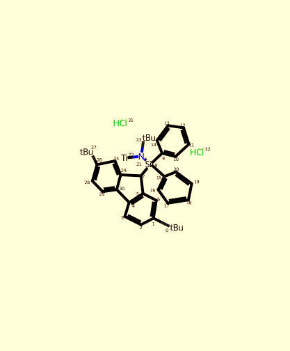 CC(C)(C)c1ccc2c(c1)C([Si](c1ccccc1)(c1ccccc1)[N]([Ti])C(C)(C)C)c1cc(C(C)(C)C)ccc1-2.Cl.Cl